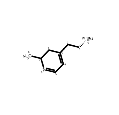 CC[C@@H](C)CCC1=CC=NC(C)C1